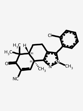 Cn1nc2c(c1-c1ccccc1Cl)CC[C@H]1C(C)(C)C(=O)C(C#N)=C[C@]21C